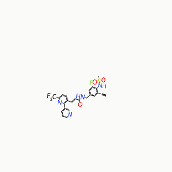 C#Cc1cc(CNC(=O)/C=C/c2ccc(C(F)(F)F)nc2-c2cccnc2)cc(F)c1NS(C)(=O)=O